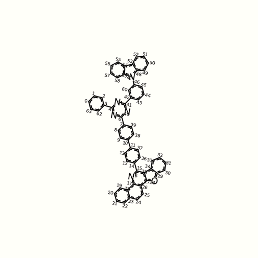 c1ccc(-c2nc(-c3ccc(-c4ccc(-c5nc6c7ccccc7ccc6c6oc7ccccc7c56)cc4)cc3)nc(-c3cccc(-n4c5ccccc5c5ccccc54)c3)n2)cc1